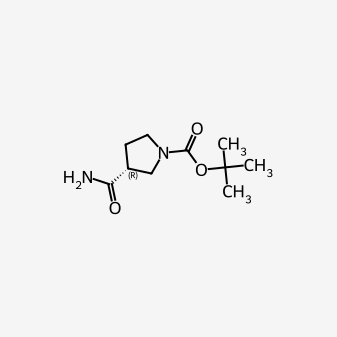 CC(C)(C)OC(=O)N1CC[C@@H](C(N)=O)C1